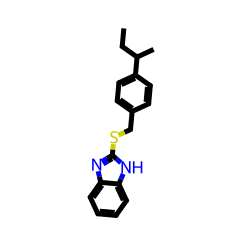 CCC(C)c1ccc(CSc2nc3ccccc3[nH]2)cc1